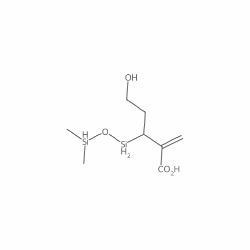 C=C(C(=O)O)C(CCO)[SiH2]O[SiH](C)C